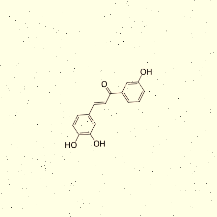 O=C(C=Cc1ccc(O)c(O)c1)c1cccc(O)c1